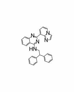 c1ccc(C(CNc2nc(-c3cccn4ccnc34)nc3ccccc23)c2ccccc2)cc1